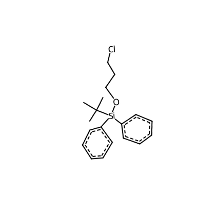 CC(C)(C)[Si](OCCCCl)(c1ccccc1)c1ccccc1